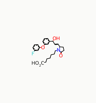 O=C(O)CCCCCCN1C(=O)CCC1C=CC(O)c1cccc(Oc2cccc(F)c2)c1